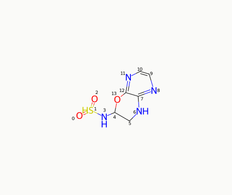 O=[SH](=O)NC1CNc2nccnc2O1